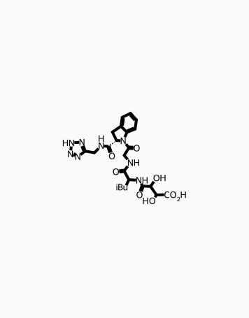 CCC(C)C(NC(=O)C(O)C(O)C(=O)O)C(=O)NCC(=O)N1c2ccccc2C[C@H]1C(=O)NCc1nn[nH]n1